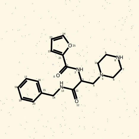 O=C(NC(CN1CCNCC1)C(=O)NCc1ccccc1)c1ccco1